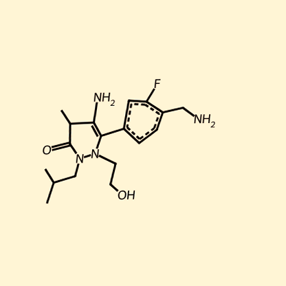 CC(C)CN1C(=O)C(C)C(N)=C(c2ccc(CN)c(F)c2)N1CCO